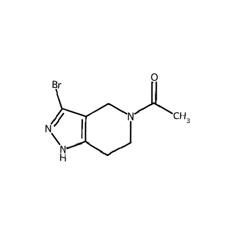 CC(=O)N1CCc2[nH]nc(Br)c2C1